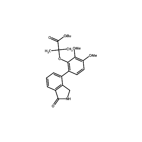 COc1ccc(-c2cccc3c2CNC3=O)c(OC(C)(C)C(=O)OCC(C)C)c1OC